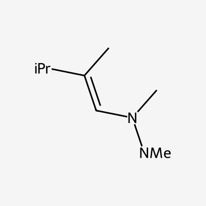 CNN(C)/C=C(\C)C(C)C